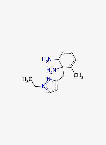 CCn1ccc(CC2(N)C(C)=CC=CC2N)n1